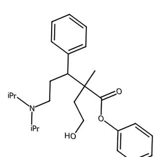 CC(C)N(CCC(c1ccccc1)C(C)(CCO)C(=O)Oc1ccccc1)C(C)C